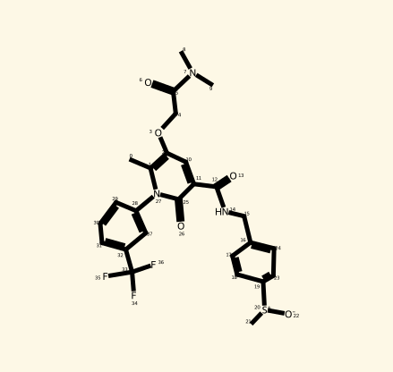 Cc1c(OCC(=O)N(C)C)cc(C(=O)NCc2ccc([S+](C)[O-])cc2)c(=O)n1-c1cccc(C(F)(F)F)c1